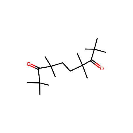 CC(C)(C)C(=O)C(C)(C)CCC(C)(C)C(=O)C(C)(C)C